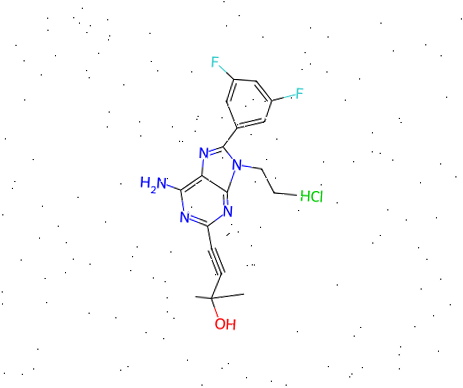 CCCn1c(-c2cc(F)cc(F)c2)nc2c(N)nc(C#CC(C)(C)O)nc21.Cl